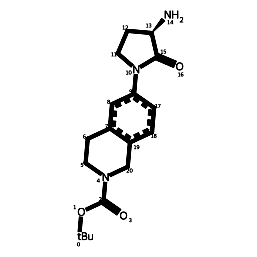 CC(C)(C)OC(=O)N1CCc2cc(N3CC[C@@H](N)C3=O)ccc2C1